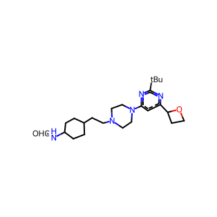 CC(C)(C)c1nc(C2CCO2)cc(N2CCN(CCC3CCC(NC=O)CC3)CC2)n1